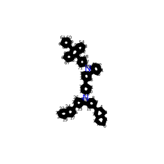 C1=CC2C=CC(c3ccc4c(c3)c3cc(-c5ccc6ccccc6c5)ccc3n4-c3ccc(-c4ccc5c(c4)c4ccccc4n5-c4ccc(-c5c6ccccc6c(-c6ccccc6)c6ccccc56)cc4)cc3)=CC2C=C1